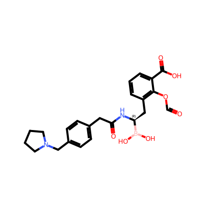 O=COc1c(C[C@H](NC(=O)Cc2ccc(CN3CCCC3)cc2)B(O)O)cccc1C(=O)O